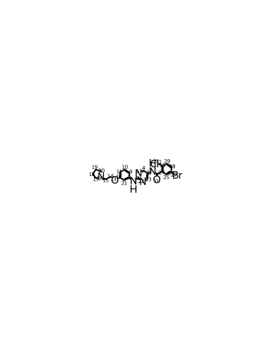 O=C(Nc1cnc(Nc2cccc(OCCN3CCCC3)c2)nc1)c1cc(Br)ccc1Cl